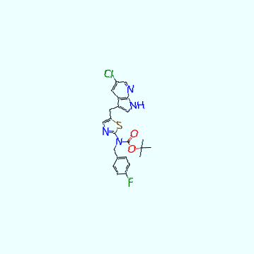 CC(C)(C)OC(=O)N(Cc1ccc(F)cc1)c1ncc(Cc2c[nH]c3ncc(Cl)cc23)s1